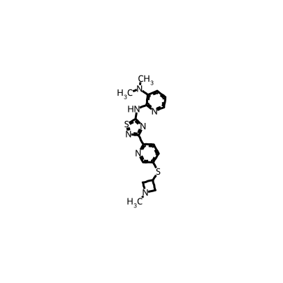 CN1CC(Sc2ccc(-c3nsc(Nc4ncccc4N(C)C)n3)nc2)C1